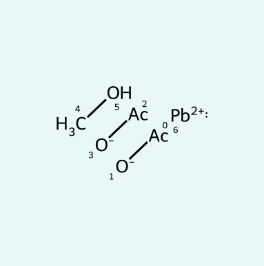 CC(=O)[O-].CC(=O)[O-].CO.[Pb+2]